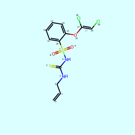 C=CCNC(=S)NS(=O)(=O)c1ccccc1O/C(Cl)=C/Cl